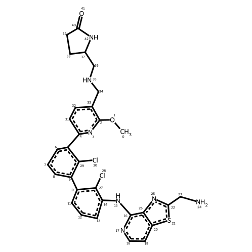 COc1nc(-c2cccc(-c3cccc(Nc4nccc5sc(CN)nc45)c3Cl)c2Cl)ccc1CNCC1CCC(=O)N1